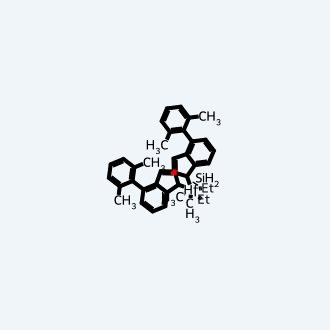 C[CH2][Hf]([CH3])([CH3])(=[SiH2])([CH2]C)([CH]1C=Cc2c(-c3c(C)cccc3C)cccc21)[CH]1C=Cc2c(-c3c(C)cccc3C)cccc21